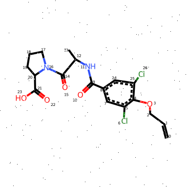 C=CCOc1c(Cl)cc(C(=O)NC(C)C(=O)N2CCCC2C(=O)O)cc1Cl